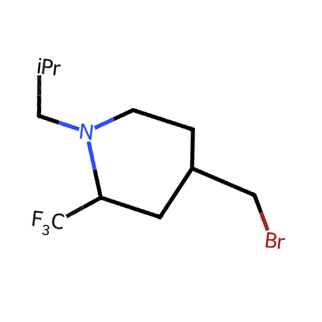 CC(C)CN1CCC(CBr)CC1C(F)(F)F